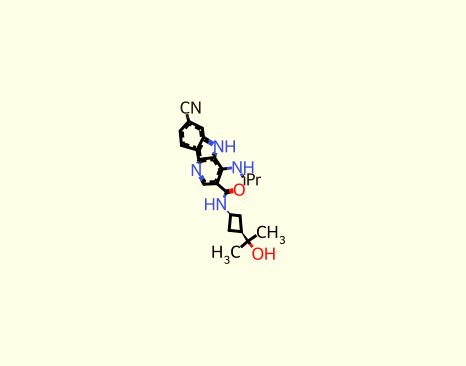 CC(C)Nc1c(C(=O)N[C@H]2C[C@H](C(C)(C)O)C2)cnc2c1[nH]c1cc(C#N)ccc12